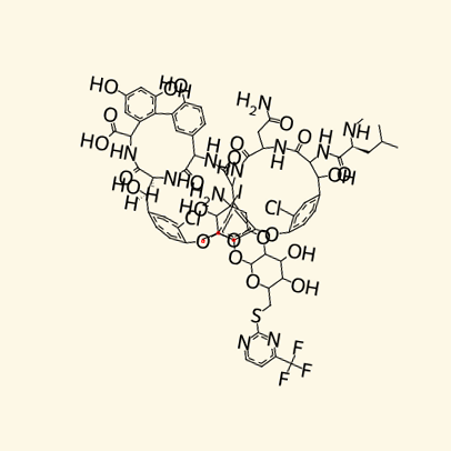 CN[C@@H](CC(C)C)C(=O)NC1C(=O)NC(CC(N)=O)C(=O)NC2C(=O)NC3C(=O)N[C@H](C(=O)NC(C(=O)O)c4cc(O)cc(O)c4-c4cc3ccc4O)[C@H](O)c3ccc(c(Cl)c3)Oc3cc2cc(c3OC2OC(CSc3nccc(C(F)(F)F)n3)C(O)C(O)C2OC2CC(N)(I)C(O)C(C)O2)Oc2ccc(cc2Cl)C1O